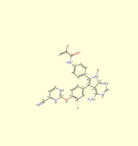 C=C(C)C(=O)Nc1ccc(-c2c(-c3ccc(Oc4nccc(C#N)n4)c(F)c3)c3c(N)ncnc3n2C)cc1